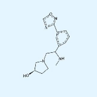 CNC(CN1CC[C@@H](O)C1)c1cccc(-c2ncon2)c1